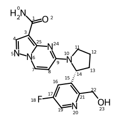 NC(=O)c1cnn2ccc(N3CCC[C@@H]3c3cc(F)cnc3CO)nc12